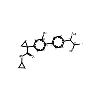 O=C(NC1CC1)C1(c2ccc(-c3ccc(C(O)C(F)F)cc3)c(F)c2)CC1